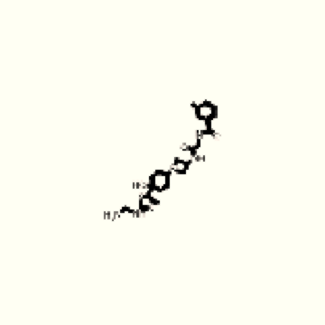 Cc1cccc(C(=O)NCC(=O)NC2CN(C3CCC(O)(c4cnc(NCN)s4)CC3)C2)c1